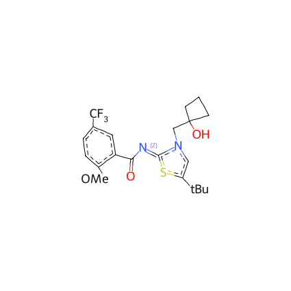 COc1ccc(C(F)(F)F)cc1C(=O)/N=c1\sc(C(C)(C)C)cn1CC1(O)CCC1